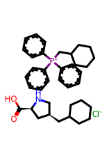 O=C(O)[C@@H]1C[C@H](CC2CCCCC2)CN1.[Cl-].c1ccc([P+](CC2CCCCC2)(c2ccccc2)c2ccccc2)cc1